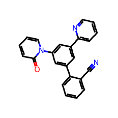 N#Cc1ccccc1-c1cc(-c2ccccn2)cc(-n2ccccc2=O)c1